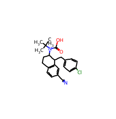 CC(C)(C)N(C(=O)O)C1CCc2ccc(C#N)cc2C1Cc1ccc(Cl)cc1